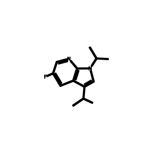 CC(C)c1cn(C(C)C)c2ncc(F)cc12